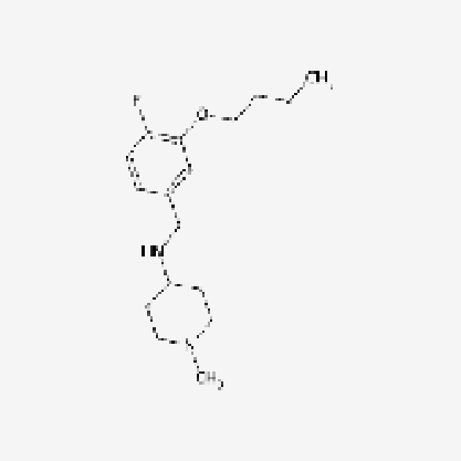 CCCCOc1cc(CNC2CCN(C)CC2)ccc1F